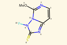 COc1nccc2nc(=S)n(F)n12